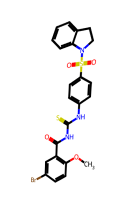 COc1ccc(Br)cc1C(=O)NC(=S)Nc1ccc(S(=O)(=O)N2CCc3ccccc32)cc1